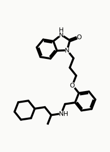 CC(CC1CCCCC1)NCc1ccccc1OCCCn1c(=O)[nH]c2ccccc21